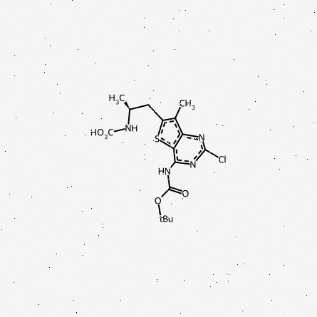 Cc1c(C[C@H](C)NC(=O)O)sc2c(NC(=O)OC(C)(C)C)nc(Cl)nc12